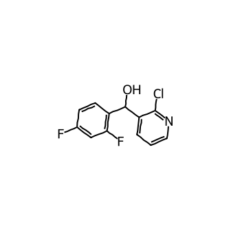 OC(c1ccc(F)cc1F)c1cccnc1Cl